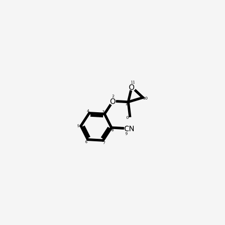 CC1(Oc2ccccc2C#N)CO1